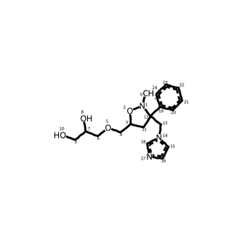 CN1OC(COCC(O)CO)CC1(Cn1ccnc1)c1ccccc1